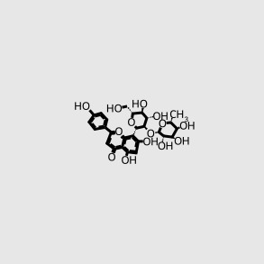 C[C@H]1O[C@@H](O[C@@H]2[C@@H](O)[C@H](O)[C@@H](CO)O[C@H]2c2c(O)cc(O)c3c(=O)cc(-c4ccc(O)cc4)oc23)[C@@H](O)[C@@H](O)[C@@H]1O